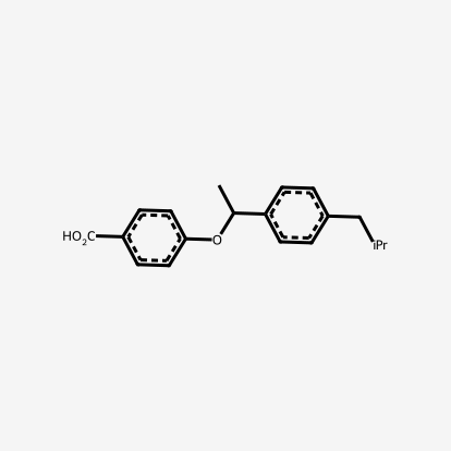 CC(C)Cc1ccc(C(C)Oc2ccc(C(=O)O)cc2)cc1